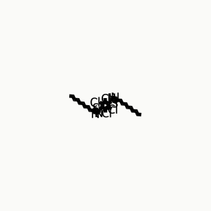 CCCCCCCCCc1nnc(-c2c(Cl)c(Cl)c(-c3nnc(CCCCCCCCC)s3)c(Cl)c2Cl)s1